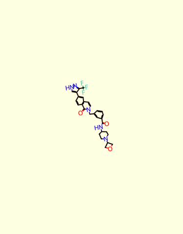 O=C(NC1CCN(C2COC2)CC1)c1cccc(Cn2ccc3cc(-c4c[nH]nc4C(F)(F)F)ccc3c2=O)c1